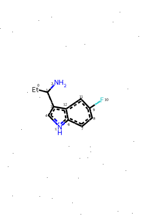 CCC(N)c1c[nH]c2ccc(F)cc12